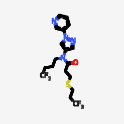 O=C(CCSCCC(F)(F)F)N(CCCC(F)(F)F)c1cnn(-c2cccnc2)c1